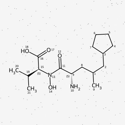 CC(CC1CCCC1)C[C@H](N)C(=O)N(O)[C@H](C(=O)O)C(C)C